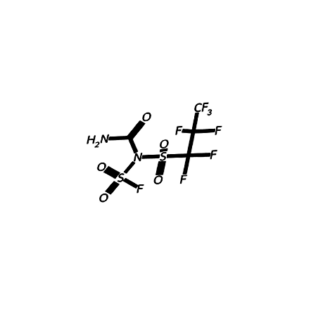 NC(=O)N(S(=O)(=O)F)S(=O)(=O)C(F)(F)C(F)(F)C(F)(F)F